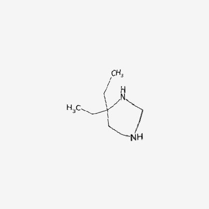 CCC1(CC)CNCN1